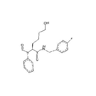 O=CN(c1ccccc1)[C@@H](CCCCO)C(=O)NCc1ccc(F)cc1